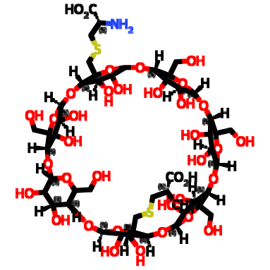 C[C@H](CSCC1O[C@@H]2O[C@@H]3C(CO)O[C@@H](O[C@@H]4C(CO)O[C@@H](O[C@@H]5C(CSC[C@@H](N)C(=O)O)OC(O[C@@H]6C(CO)O[C@H](O[C@@H]7C(CO)O[C@H](O[C@@H]8C(CO)O[C@H](O[C@H]1[C@H](O)C2O)C(O)[C@H]8O)[C@@H](O)C7O)[C@@H](O)C6O)C(O)[C@H]5O)[C@@H](O)C4O)C(O)[C@H]3O)C(=O)O